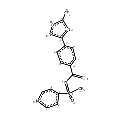 O=C(N=S(=O)(c1ccncc1)C(F)(F)F)c1ccc(-c2noc(C(F)(F)F)n2)cc1